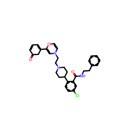 O=C1C=CC=C(C2=CN(CCN3CCC(c4ccc(Cl)cc4C(=O)NCCc4ccccc4)CC3)C=CO2)C1